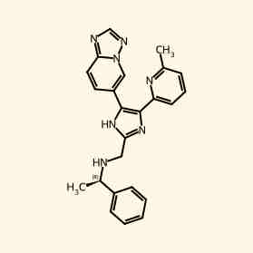 Cc1cccc(-c2nc(CN[C@H](C)c3ccccc3)[nH]c2-c2ccc3ncnn3c2)n1